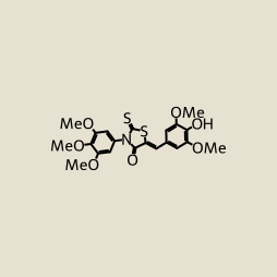 COc1cc(/C=C2\SC(=S)N(c3cc(OC)c(OC)c(OC)c3)C2=O)cc(OC)c1O